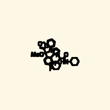 COC(Cc1ccccc1)(C1=COCO1)c1ccc(F)c(F)c1-c1nccn1C(C(=O)NC1CCCCC1)C1CCCCC1